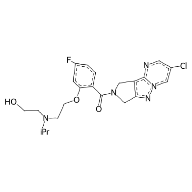 CC(C)N(CCO)CCOc1cc(F)ccc1C(=O)N1Cc2nn3cc(Cl)cnc3c2C1